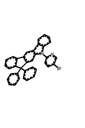 Brc1ccc(-n2c3ccccc3c3cc4c(cc32)C(c2ccccc2)(c2ccccc2)c2ccccc2-4)nc1